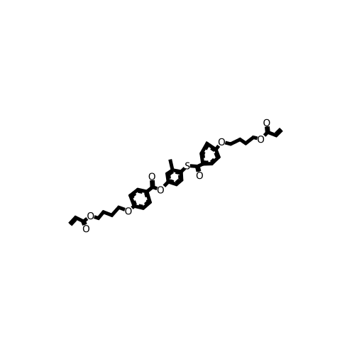 C=CC(=O)OCCCCOc1ccc(C(=O)Oc2ccc(SC(=O)c3ccc(OCCCCOC(=O)C=C)cc3)c(C)c2)cc1